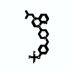 CC(C)CN1C=CN(C2CCN(Cc3ccc(OC(F)(F)F)cc3)CC2)c2ncccc21